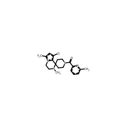 Cc1cccc(C(=O)N2CCC3(CC2)c2c(Cl)cc(C(F)(F)F)n2CCN3C)n1